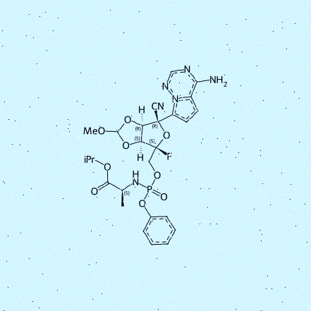 COC1O[C@@H]2[C@H](O1)[C@@](F)(COP(=O)(N[C@@H](C)C(=O)OC(C)C)Oc1ccccc1)O[C@@]2(C#N)c1ccc2c(N)ncnn12